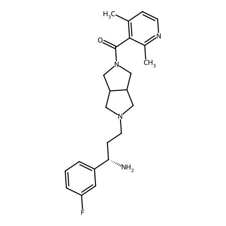 Cc1ccnc(C)c1C(=O)N1CC2CN(CC[C@H](N)c3cccc(F)c3)CC2C1